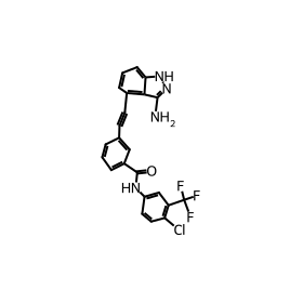 Nc1n[nH]c2cccc(C#Cc3cccc(C(=O)Nc4ccc(Cl)c(C(F)(F)F)c4)c3)c12